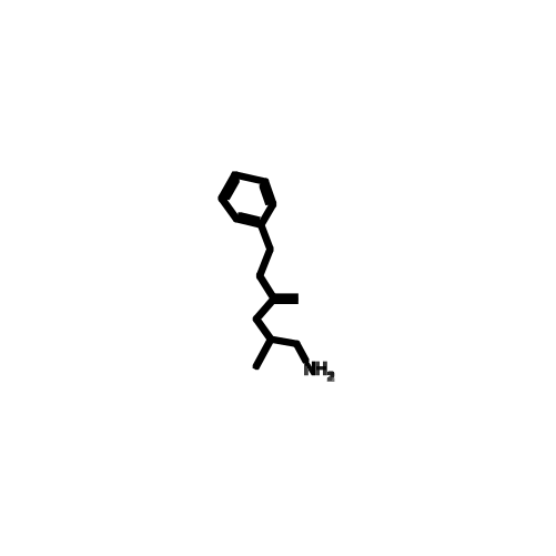 C=C(CCc1ccccc1)CC(C)CN